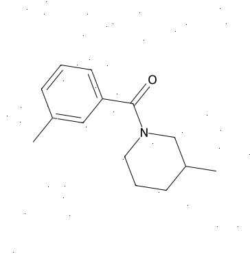 Cc1cccc(C(=O)N2CCCC(C)C2)c1